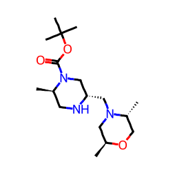 C[C@@H]1CO[C@@H](C)CN1C[C@H]1CN(C(=O)OC(C)(C)C)[C@H](C)CN1